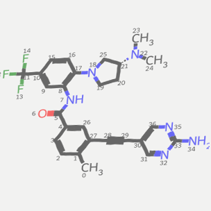 Cc1ccc(C(=O)Nc2cc(C(F)(F)F)ccc2N2CC[C@@H](N(C)C)C2)cc1C#Cc1cnc(N)nc1